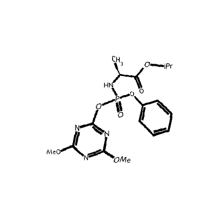 COc1nc(OC)nc(OP(=O)(N[C@@H](C)C(=O)OC(C)C)Oc2ccccc2)n1